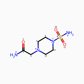 NC(=O)CN1CCN(S(N)(=O)=O)CC1